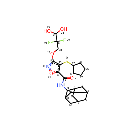 O=C(NC1C2CC3CC(C2)CC1C3)c1onc(OCC(F)(F)C(O)O)c1SC1CCCC1